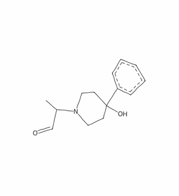 CC(C=O)N1CCC(O)(c2ccccc2)CC1